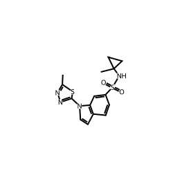 Cc1nnc(-n2ccc3ccc(S(=O)(=O)NC4(C)CC4)cc32)s1